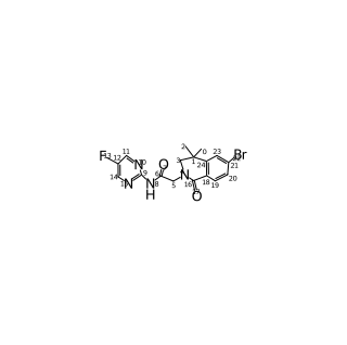 CC1(C)CN(CC(=O)Nc2ncc(F)cn2)C(=O)c2ccc(Br)cc21